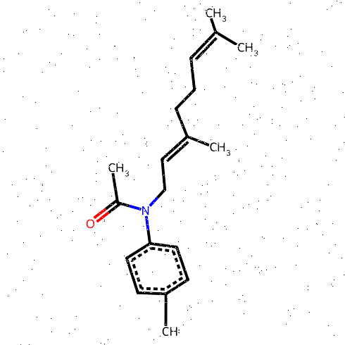 [CH]c1ccc(N(C/C=C(\C)CCC=C(C)C)C(C)=O)cc1